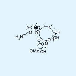 CO[C@]1(C)C[C@H](O[C@H]2[C@H](C)[C@@H](O[C@@H]3O[C@H](C)C[C@H](N(C)C)[C@H]3OCCCN)[C@](C)(O)C[C@@H](C)CN(C)[C@H](C)[C@@H](O)[C@](C)(O)[C@@H](I)OC(=O)[C@@H]2C)O[C@@H](C)[C@@H]1O